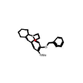 COc1cc(/C=C2/CCCCC2N2CCC2)ccc1OCc1ccccc1